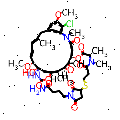 COc1cc2cc(c1Cl)N(C)C(=O)C[C@H](OC(=O)[C@H](C)N(C)C(=O)CCSC1CC(=O)N(CCCC(N)=O)C1=O)[C@]1(C)O[C@H]1[C@H](C)[C@@H]1C[C@@](O)(NC(=O)O1)[C@H](OC)/C=C/C=C(\C)C2